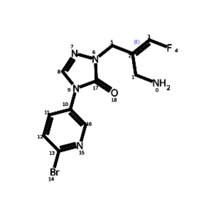 NC/C(=C\F)Cn1ncn(-c2ccc(Br)nc2)c1=O